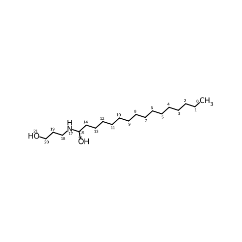 CCCCCCCCCCCCCCCC(O)NCCCO